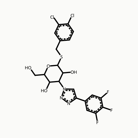 OCC1OC(SCc2ccc(Cl)c(Cl)c2)C(O)C(n2cc(-c3cc(F)c(F)c(F)c3)nn2)C1O